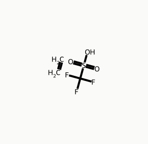 C=C.O=S(=O)(O)C(F)(F)F